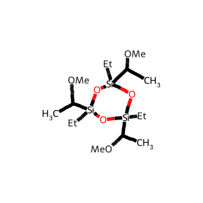 CC[Si]1(C(C)OC)O[Si](CC)(C(C)OC)O[Si](CC)(C(C)OC)O1